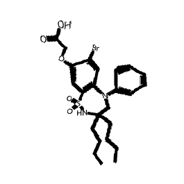 CCCCC1(CCCC)CN(c2ccccc2)c2cc(Br)c(OCC(=O)O)cc2S(=O)(=O)N1